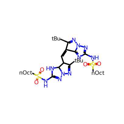 CCCCCCCCS(=O)(=O)NC1=NN2N=C(C(C)(C)C)C(/C=c3/c(C(C)(C)C)nn4nc(NS(=O)(=O)CCCCCCCC)nc34)C2N1